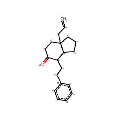 C=CCC12CCCC1C(CCc1ccccc1)C(=O)CC2